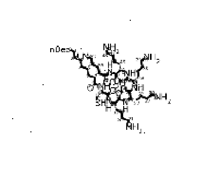 CCCCCCCCCCCCCCCCCC(=O)N[C@@H](CS)C(=O)N[C@@H](CCCCN)C(=O)N[C@@H](CCCCN)C(=O)N[C@@H](CCCCN)C(=O)N[C@@H](CCCCN)C(=O)N[C@@H](CCCCN)C(=O)O